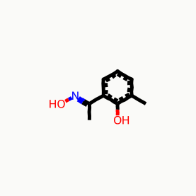 C/C(=N\O)c1cccc(C)c1O